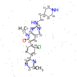 CCn1c(=O)c(-c2ccc(-c3cncc(C)n3)cc2Cl)cc2cnc(NCCC3CCNCC3)nc21